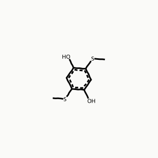 CSc1cc(O)c(SC)cc1O